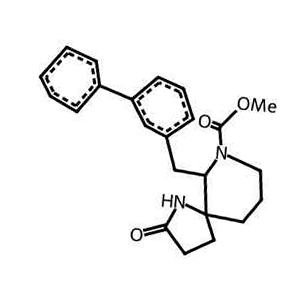 COC(=O)N1CCCC2(CCC(=O)N2)C1Cc1cccc(-c2ccccc2)c1